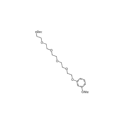 CCCCCCCCCCCCOCCOCCOCCOCCOc1cccc(OC)c1